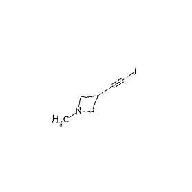 CN1CC(C#CI)C1